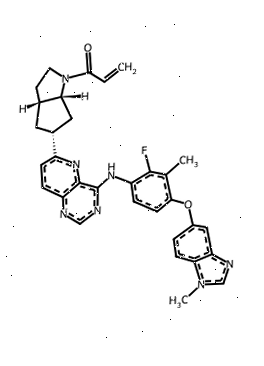 C=CC(=O)N1CC[C@H]2C[C@@H](c3ccc4ncnc(Nc5ccc(Oc6ccc7c(c6)ncn7C)c(C)c5F)c4n3)C[C@H]21